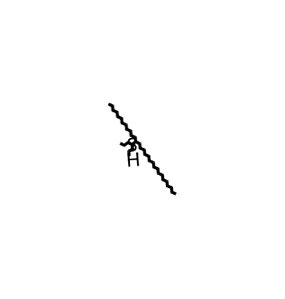 CCCCCCCCCCCCCCCCCC(CCCCCCCCCCCC)[SH](CCC)CCC